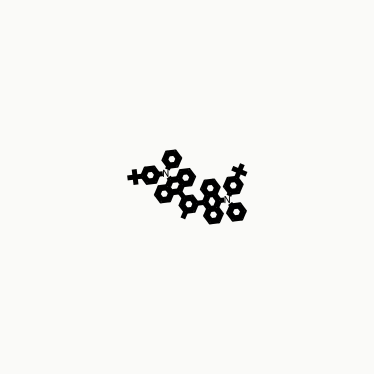 Cc1cc(-c2c3ccccc3c(N(c3ccccc3)c3ccc(C(C)(C)C)cc3)c3ccccc23)cc(-c2c3ccccc3c(N(c3ccccc3)c3ccc(C(C)(C)C)cc3)c3ccccc23)c1